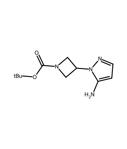 CC(C)(C)OC(=O)N1CC(n2nccc2N)C1